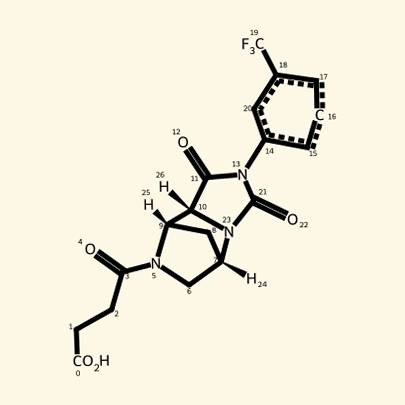 O=C(O)CCC(=O)N1C[C@@H]2C[C@H]1[C@@H]1C(=O)N(c3cccc(C(F)(F)F)c3)C(=O)N21